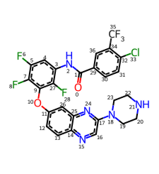 O=C(Nc1cc(F)c(F)c(Oc2ccc3ncc(N4CCNCC4)nc3c2)c1F)c1ccc(Cl)c(C(F)(F)F)c1